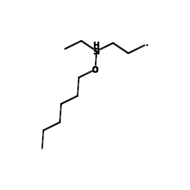 [CH2]CC[SiH](CC)OCCCCCC